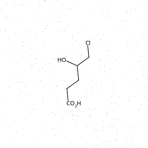 O=C(O)CCC(O)CCl